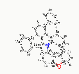 c1ccc(-c2cccc(-c3c(-c4ccccc4)c4ccc5oc6cccc7c8ccccc8n3c4c5c67)c2)cc1